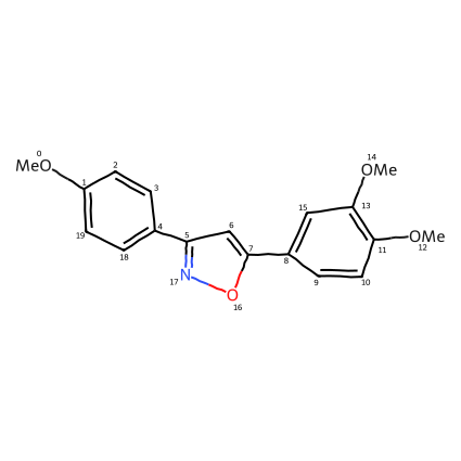 COc1ccc(-c2cc(-c3ccc(OC)c(OC)c3)on2)cc1